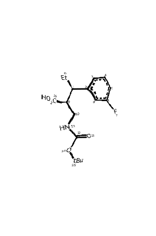 CC[C@@H](c1cccc(F)c1)[C@@H](CNC(=O)OC(C)(C)C)C(=O)O